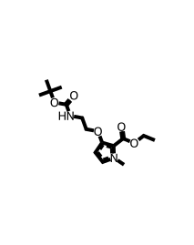 CCOC(=O)c1c(OCCNC(=O)OC(C)(C)C)ccn1C